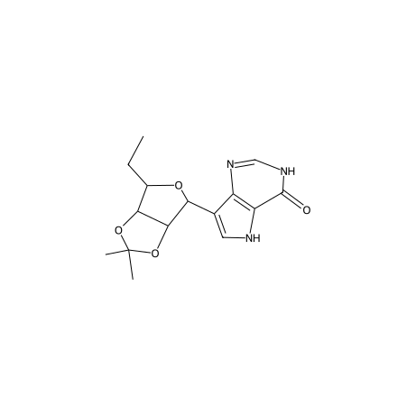 CCC1OC(c2c[nH]c3c(=O)[nH]cnc23)C2OC(C)(C)OC12